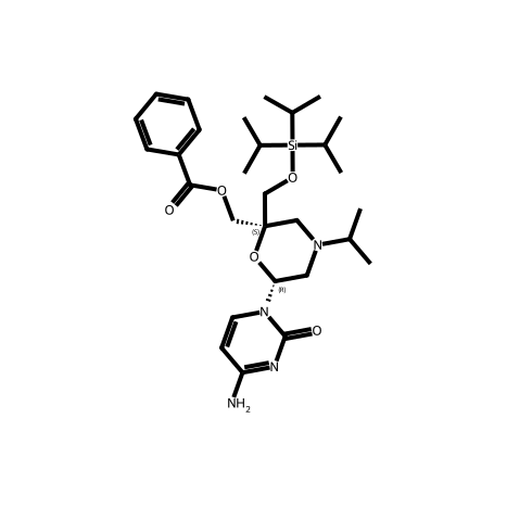 CC(C)N1C[C@H](n2ccc(N)nc2=O)O[C@@](COC(=O)c2ccccc2)(CO[Si](C(C)C)(C(C)C)C(C)C)C1